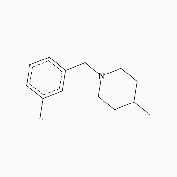 [CH2]c1cccc(CN2CCC(C)CC2)c1